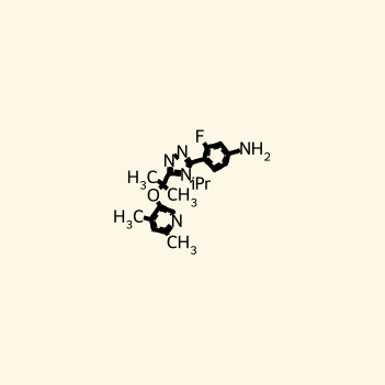 Cc1cc(C)c(OC(C)(C)c2nnc(-c3ccc(N)cc3F)n2C(C)C)cn1